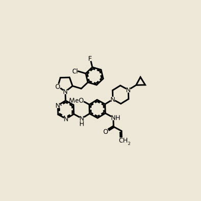 C=CC(=O)Nc1cc(Nc2cc(N3OCCC3Cc3cccc(F)c3Cl)ncn2)c(OC)cc1N1CCN(C2CC2)CC1